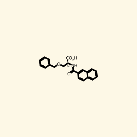 O=C(N[C@@H](COCc1ccccc1)C(=O)O)c1ccc2ccccc2c1